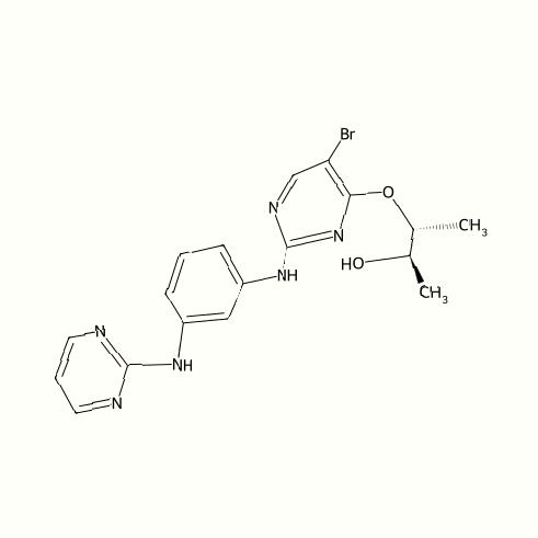 C[C@@H](O)[C@@H](C)Oc1nc(Nc2cccc(Nc3ncccn3)c2)ncc1Br